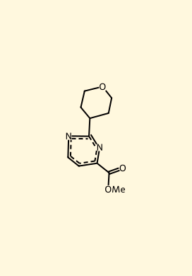 COC(=O)c1ccnc(C2CCOCC2)n1